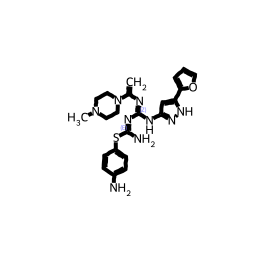 C=C(/N=C(\N=C(/N)Sc1ccc(N)cc1)Nc1cc(-c2ccco2)[nH]n1)N1CCN(C)CC1